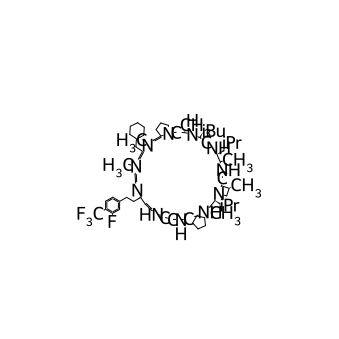 CC[C@H](C)[C@H]1CN[C@@H](CC(C)C)C(C)NCC2[C@H](C)CN2[C@@H](C(C)C)C(C)NC2(CCCC2)CNCCNC=CC(CCc2ccc(C(F)(F)F)c(F)c2)=NC=CN(C)C=C(CC2CCCCC2)N(C)C=C2CCCN2CC(C)N1